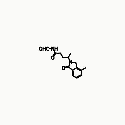 Cc1cccc2c1CN(C(C)CCC(=O)NC=O)C2=O